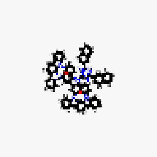 c1ccc(-n2c3ccccc3c3ccc4c5ccccc5n(-c5ccc6c(c5)c5cc(-n7c8ccccc8c8ccc9c%10ccccc%10n(-c%10ccccc%10)c9c87)ccc5n6-c5nc(-c6ccc7ccccc7c6)nc(-c6ccc7ccccc7c6)n5)c4c32)cc1